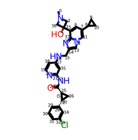 CN1CC(O)(c2cc(C3CC3)cn3cc(CNc4ccnc(NC(=O)[C@H]5C[C@@H]5c5cccc(Cl)c5)c4)nc23)C1